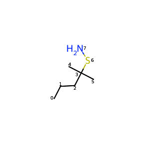 CCCC(C)(C)SN